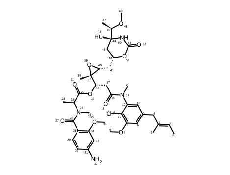 C/C=C(\C)Cc1cc(OC)c(Cl)c(N(C)C(=O)C[C@H](OC(=O)[C@H](C)N(C)C(=O)c2ccc(N)cc2OC)[C@]2(C)O[C@@H]2C[C@@H]2C[C@](O)([C@@H](C)OC)NC(=O)O2)c1